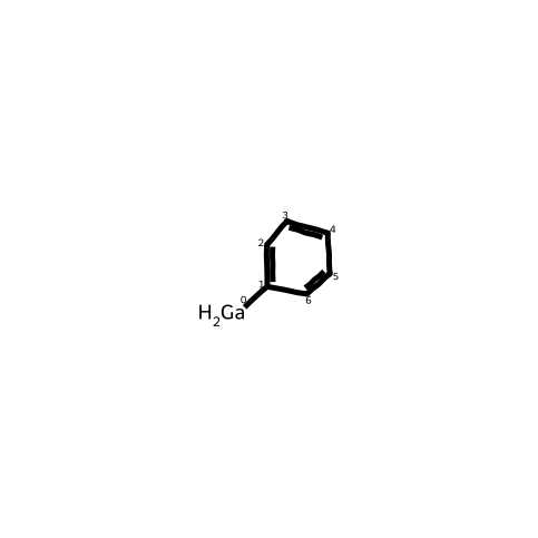 [GaH2][c]1ccccc1